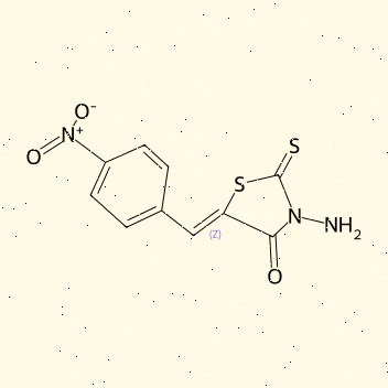 NN1C(=O)/C(=C/c2ccc([N+](=O)[O-])cc2)SC1=S